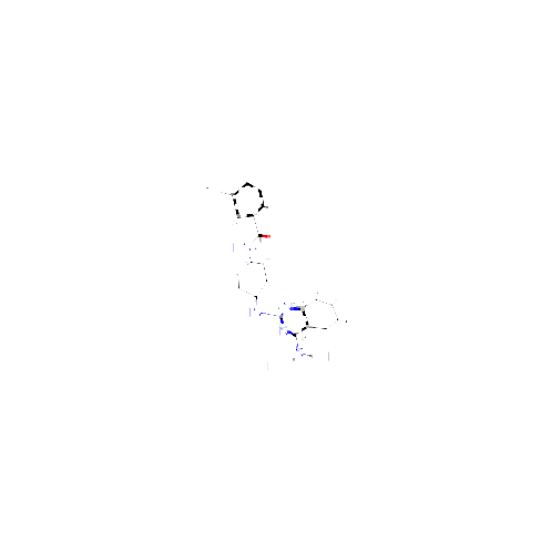 CC(=O)c1cccc(C(=O)NC2CCC(Nc3nc4c(c(N(C)C)n3)CCCC4)CC2)c1